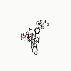 COc1c(Nc2ccc(S(C)(=O)=O)cc2F)ncnc1OC1C2COCC1CN(c1ncc(C)cn1)C2